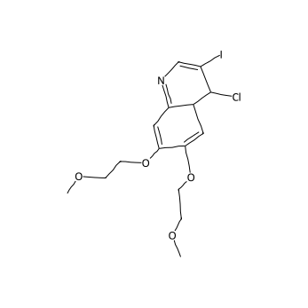 COCCOC1=CC2=NC=C(I)C(Cl)C2C=C1OCCOC